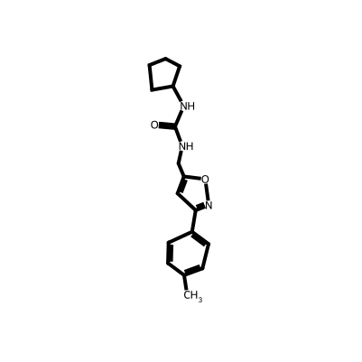 Cc1ccc(-c2cc(CNC(=O)NC3CCCC3)on2)cc1